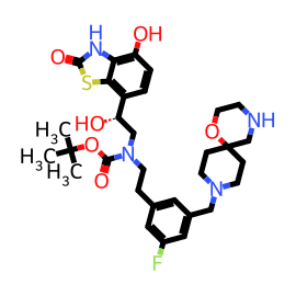 CC(C)(C)OC(=O)N(CCc1cc(F)cc(CN2CCC3(CC2)CNCCO3)c1)C[C@H](O)c1ccc(O)c2[nH]c(=O)sc12